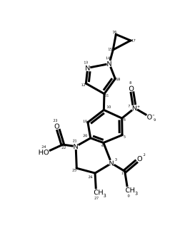 CC(=O)N1c2cc([N+](=O)[O-])c(-c3cnn(C4CC4)c3)cc2N(C(=O)O)CC1C